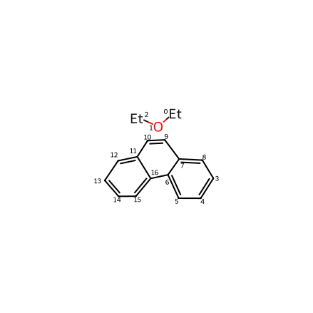 CCOCC.c1ccc2c(c1)ccc1ccccc12